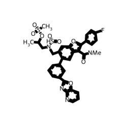 CNC(=O)c1c(-c2ccc(F)cc2)oc2cc(CN(CC(C)OS(C)(=O)=O)[SH](=O)=O)c(-c3cccc(-c4nc5ncccc5o4)c3)cc12